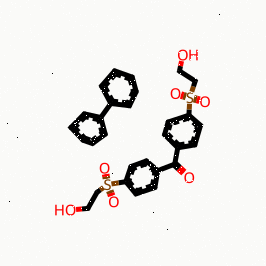 O=C(c1ccc(S(=O)(=O)CCO)cc1)c1ccc(S(=O)(=O)CCO)cc1.c1ccc(-c2ccccc2)cc1